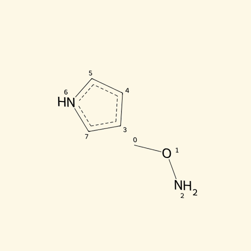 CON.c1cc[nH]c1